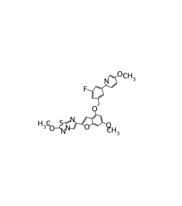 COc1ccc(-c2cc(F)cc(COc3cc(OC)cc4oc(-c5cn6nc(OC)sc6n5)cc34)c2)nc1